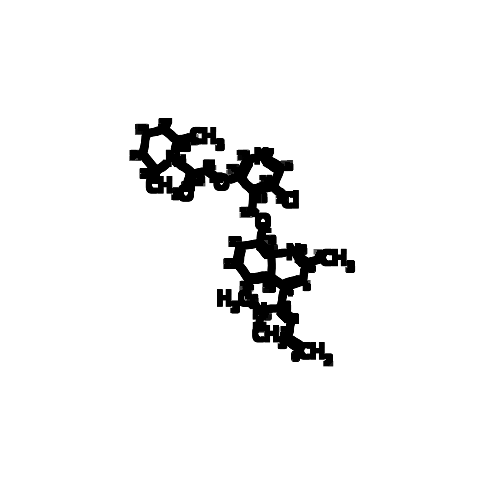 C=C/C=C(/c1cc(C)nc2c(OCc3c(Cl)cncc3OCC(=O)N3C(C)CCCC3C)cccc12)N(C)C